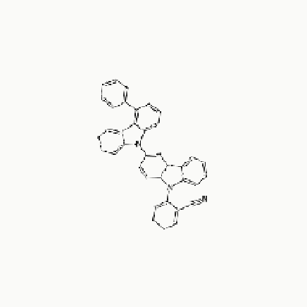 N#CC1=CCCC=C1N1c2ccccc2C2C=C(n3c4c(c5c(-c6ccccc6)cccc53)=CCCC=4)C=CC21